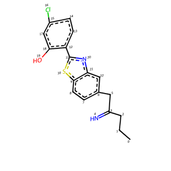 CCCC(=N)Cc1ccc2sc(-c3ccc(Cl)cc3O)nc2c1